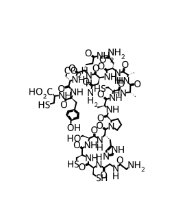 C[C@H](NC(=O)[C@H](C)NC(=O)[C@H](CS)NC(=O)[C@H](C)NC(=O)[C@H]1CCCN1C(=O)[C@H](Cc1cnc[nH]1)NC(=O)[C@H](CO)NC(=O)[C@H](CS)NC(=O)[C@H](CS)NC(=O)CNC(=O)CN)C(=O)N[C@@H](CC(N)=O)C(=O)N[C@@H](CC(N)=O)C(=O)N[C@@H](CCC(N)=O)C(=O)N[C@@H](CC(=O)O)C(=O)N[C@@H](Cc1ccc(O)cc1)C(=O)N[C@@H](CS)C(=O)O